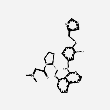 CN(C)CC(=O)N1CCC[C@@H]1COc1cccc2ncnc(Nc3ccc(OCc4cscn4)c(Cl)c3)c12